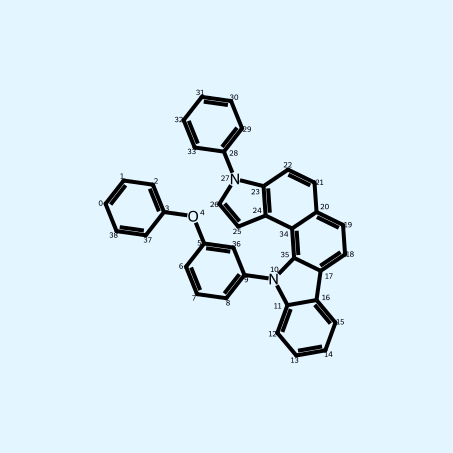 c1ccc(Oc2cccc(-n3c4ccccc4c4ccc5ccc6c(ccn6-c6ccccc6)c5c43)c2)cc1